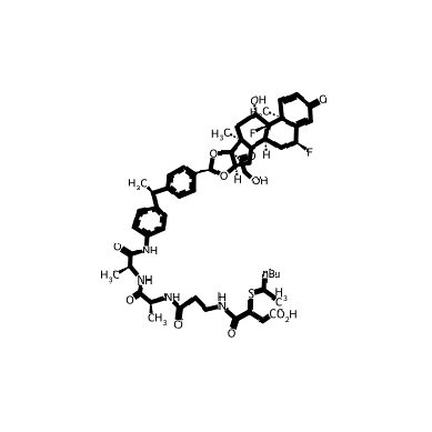 CCCCC(C)SC(CC(=O)O)C(=O)NCCC(=O)N[C@@H](C)C(=O)N[C@@H](C)C(=O)Nc1ccc([C@@H](C)c2ccc([C@@H]3O[C@@H]4CC5[C@@H]6C[C@H](F)C7=CC(=O)C=C[C@]7(C)[C@@]6(F)[C@@H](O)C[C@]5(C)[C@]4(C(=O)CO)O3)cc2)cc1